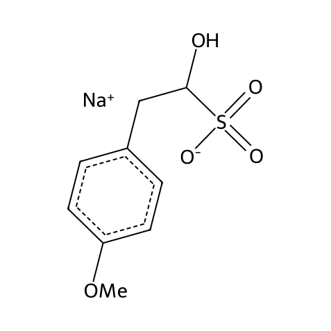 COc1ccc(CC(O)S(=O)(=O)[O-])cc1.[Na+]